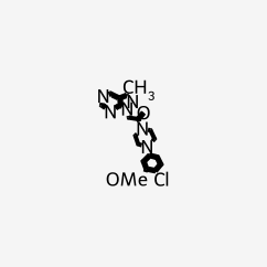 COc1cc(N2CCN(C(=O)Cn3nc(C)c4cncnc43)CC2)ccc1Cl